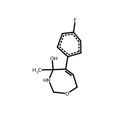 CC1(O)NCOCC=C1c1ccc(F)cc1